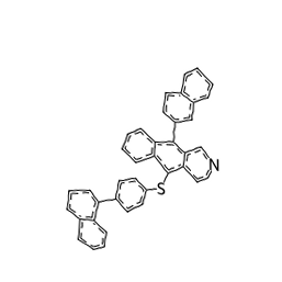 c1ccc2cc(-c3c4ccccc4c(Sc4ccc(-c5cccc6ccccc56)cc4)c4ccncc34)ccc2c1